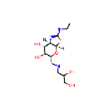 CCNC1=N[C@@H]2[C@@H](O)[C@H](O)[C@@H](CNCC(O)CO)O[C@@H]2S1